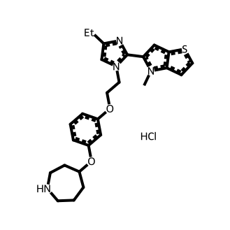 CCc1cn(CCOc2cccc(OC3CCCNCC3)c2)c(-c2cc3sccc3n2C)n1.Cl